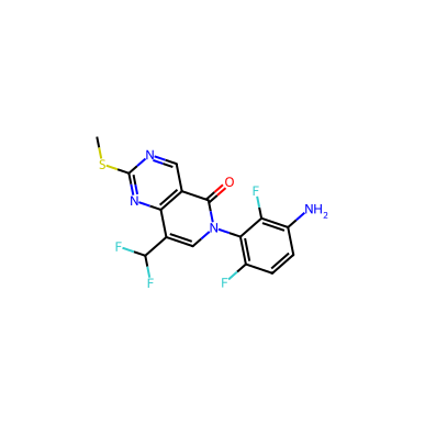 CSc1ncc2c(=O)n(-c3c(F)ccc(N)c3F)cc(C(F)F)c2n1